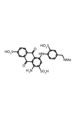 CNCc1ccc(Nc2cc(S(=O)(=O)O)c(N)c3c2C(=O)c2ccc(S(=O)(=O)O)cc2C3=O)c(S(=O)(=O)O)c1